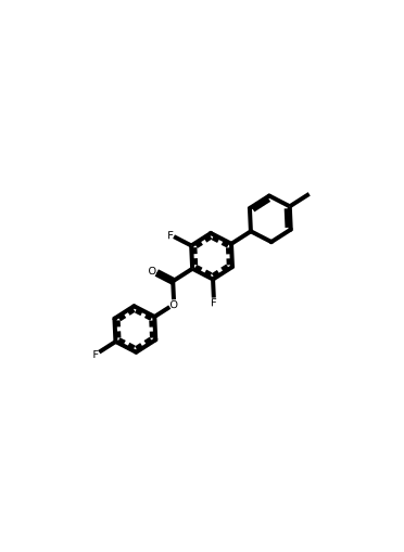 CC1=CCC(c2cc(F)c(C(=O)Oc3ccc(F)cc3)c(F)c2)C=C1